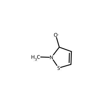 CN1SC=CC1[O]